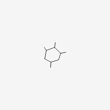 OC1CC(F)C(F)C(F)C1